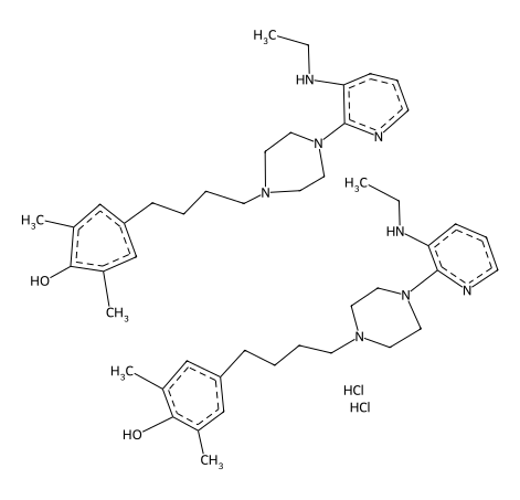 CCNc1cccnc1N1CCN(CCCCc2cc(C)c(O)c(C)c2)CC1.CCNc1cccnc1N1CCN(CCCCc2cc(C)c(O)c(C)c2)CC1.Cl.Cl